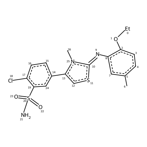 CCOc1ccc(C)cc1N=c1scc(-c2ccc(Cl)c(S(N)(=O)=O)c2)n1C